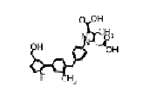 Cc1cc(-c2cc(CO)ccc2F)ccc1Cc1ccc(N2N=C(C(=O)O)[C@@H](C)[C@@H]2CC(=O)O)cc1